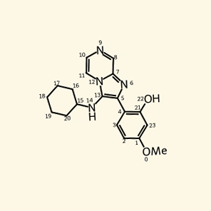 COc1ccc(-c2nc3cnccn3c2NC2CCCCC2)c(O)c1